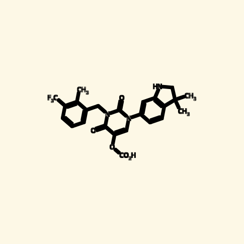 Cc1c(Cn2c(=O)c(OC(=O)O)cn(-c3ccc4c(c3)NCC4(C)C)c2=O)cccc1C(F)(F)F